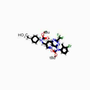 Cc1c(Br)cccc1N(C(=O)OC(C)(C)C)c1nc(C(F)F)nc2cc(CN(C(=O)OC(C)(C)C)[C@H]3CC[C@H](CC(=O)O)CC3)cnc12